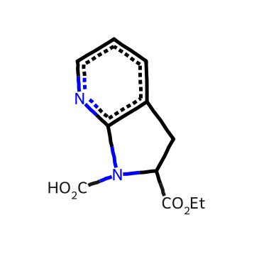 CCOC(=O)C1Cc2cccnc2N1C(=O)O